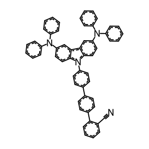 N#Cc1ccccc1-c1ccc(-c2ccc(-n3c4ccc(N(c5ccccc5)c5ccccc5)cc4c4cc(N(c5ccccc5)c5ccccc5)ccc43)cc2)cc1